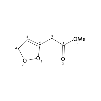 COC(=O)CC1=CCOO1